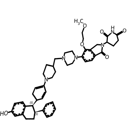 COCCOc1c(N2CCN(CC3CCN(C4=CCC([C@@H]5c6ccc(O)cc6CC[C@@H]5c5ccccc5)C=C4)CC3)CC2)ccc2c1CN(C1CCC(=O)NC1=O)C2=O